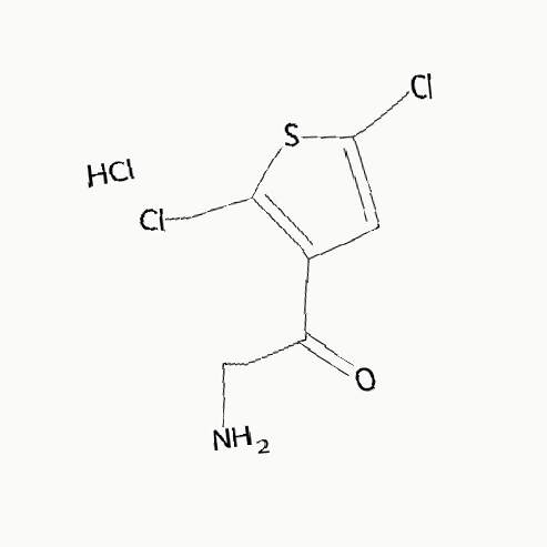 Cl.NCC(=O)c1cc(Cl)sc1Cl